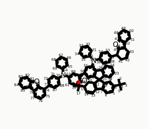 CC(C)(C)c1ccc2c(c1)C1(C3=C2C=CC(C(C)(C)C)C3)c2ccccc2-c2c(N(c3ccccc3)c3ccc(C4CC=Cc5c4oc4ccccc54)cc3)cc3c(oc4ccc(N(c5ccccc5)c5ccc(-c6cccc7c6oc6ccccc67)cc5)cc43)c21